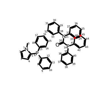 Cn1cccc1P(c1ccccc1)c1ccccc1.O=C(N(c1ccccc1)c1ccccc1)P(c1ccccc1)c1ccccc1